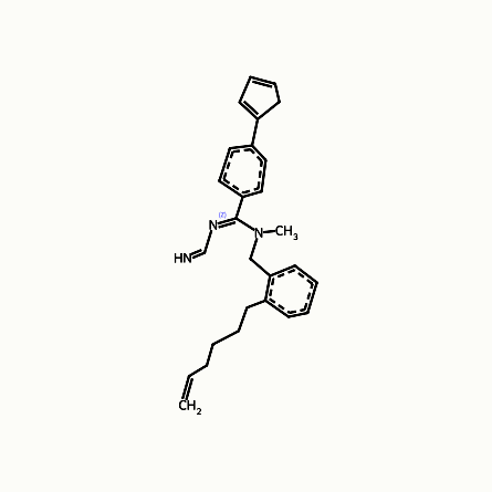 C=CCCCCc1ccccc1CN(C)/C(=N\C=N)c1ccc(C2=CC=CC2)cc1